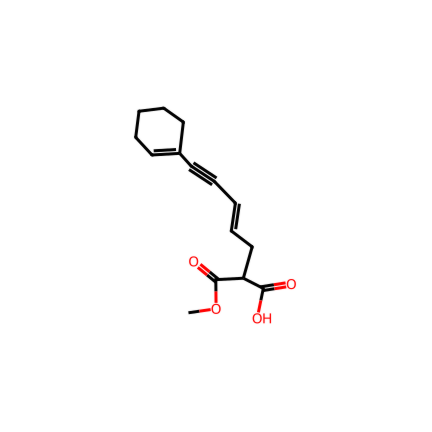 COC(=O)C(CC=CC#CC1=CCCCC1)C(=O)O